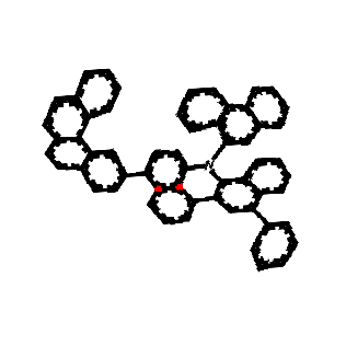 c1ccc(-c2cc(-c3ccccc3)c3ccccc3c2N(c2ccc(-c3ccc4ccc5ccc6ccccc6c5c4c3)cc2)c2cc3ccccc3c3ccccc23)cc1